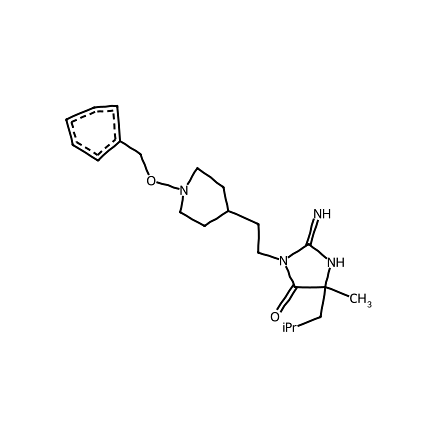 CC(C)CC1(C)NC(=N)N(CCC2CCN(OCc3ccccc3)CC2)C1=O